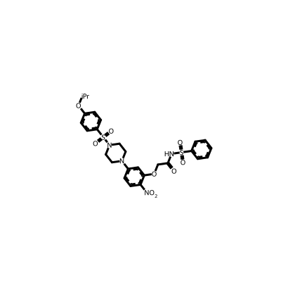 CC(C)Oc1ccc(S(=O)(=O)N2CCN(c3ccc([N+](=O)[O-])c(OCC(=O)NS(=O)(=O)c4ccccc4)c3)CC2)cc1